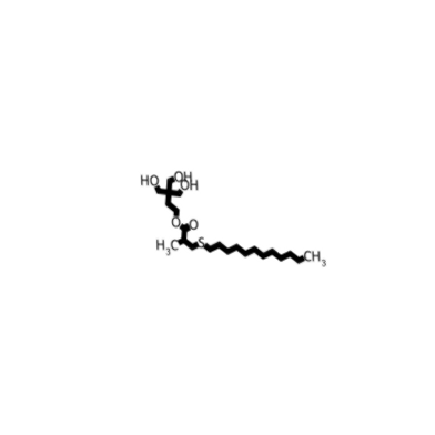 CCCCCCCCCCCCSCC(C)C(=O)OCCC(CO)(CO)CO